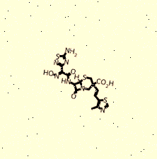 Cc1ncsc1C=CC1(C(=O)O)CS[C@@H]2C(NC(=O)C(=NO)c3nsc(N)n3)C(=O)N2C1